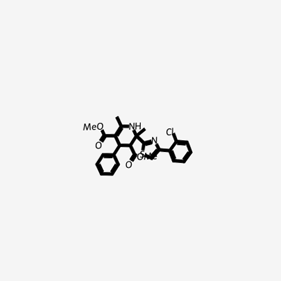 COC(=O)C1=C(C)NC(C)(c2nc(-c3ccccc3Cl)cs2)C(C(=O)OC)C1c1ccccc1